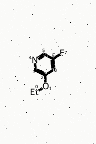 CCOc1cn[c]c(F)c1